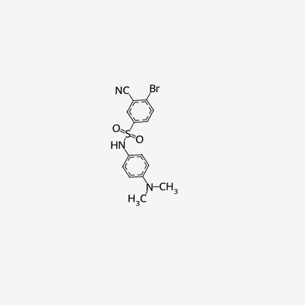 CN(C)c1ccc(NS(=O)(=O)c2ccc(Br)c(C#N)c2)cc1